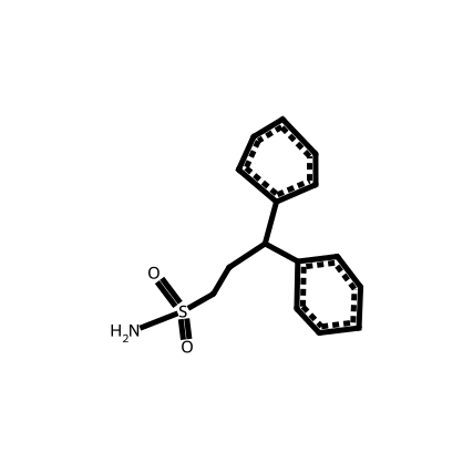 NS(=O)(=O)CCC(c1ccccc1)c1ccccc1